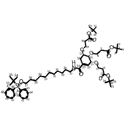 CC(C)(C)OC(=O)CCO[C@@H]1[C@H](OCCC(=O)OC(C)(C)C)C=C(C(=O)NCCCCCCCCCCCO[Si](c2ccccc2)(c2ccccc2)C(C)(C)C)C[C@H]1OCCC(=O)OC(C)(C)C